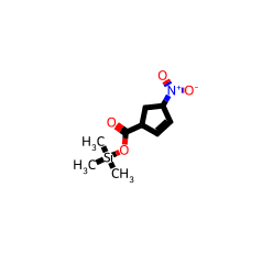 C[Si](C)(C)OC(=O)C1C=CC([N+](=O)[O-])C1